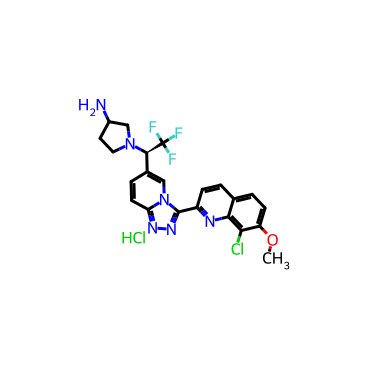 COc1ccc2ccc(-c3nnc4ccc([C@@H](N5CCC(N)C5)C(F)(F)F)cn34)nc2c1Cl.Cl